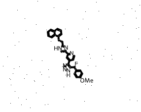 COc1ccc(C(F)c2[nH]nnc2-c2ccnc(-c3c[nH]c(CCc4cccc5ccccc45)n3)c2)cc1